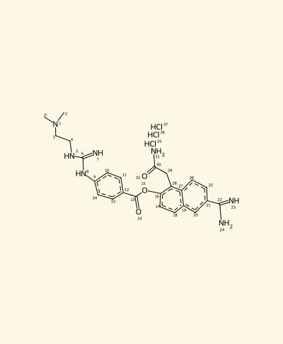 CN(C)CCNC(=N)Nc1ccc(C(=O)Oc2ccc3cc(C(=N)N)ccc3c2CC(N)=O)cc1.Cl.Cl.Cl